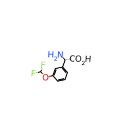 N[C@H](C(=O)O)c1cccc(OC(F)F)c1